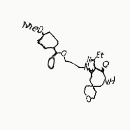 CCc1nn(CCCOC(=O)C2CCC(OC)CC2)c2c1C(=O)NCC1(CCOCC1)C2